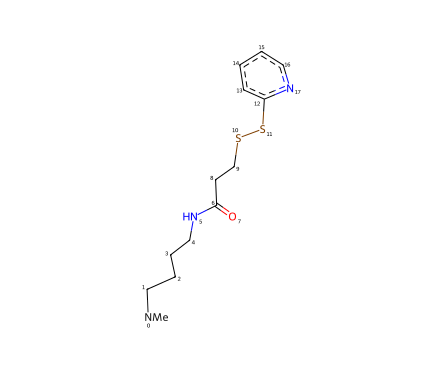 CNCCCCNC(=O)CCSSc1ccccn1